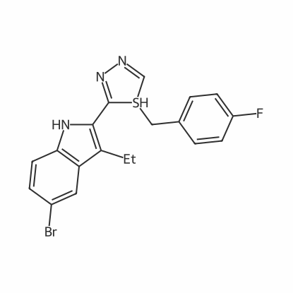 CCc1c(C2=NN=C[SH]2Cc2ccc(F)cc2)[nH]c2ccc(Br)cc12